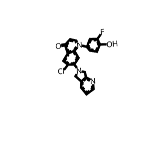 O=c1ccn(-c2ccc(O)c(F)c2)c2cc(N3Cc4cccnc4C3)c(Cl)cc12